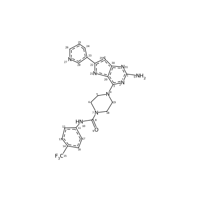 Nc1nc(N2CCN(C(=O)Nc3ccc(C(F)(F)F)cc3)CC2)c2nc(-c3cccnc3)sc2n1